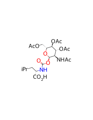 CC(=O)N[C@H]1[C@@H](OC(=O)N[C@@H](CC(C)C)C(=O)O)O[C@H](COC(C)=O)[C@@H](OC(C)=O)[C@@H]1OC(C)=O